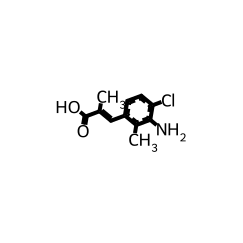 C/C(=C\c1ccc(Cl)c(N)c1C)C(=O)O